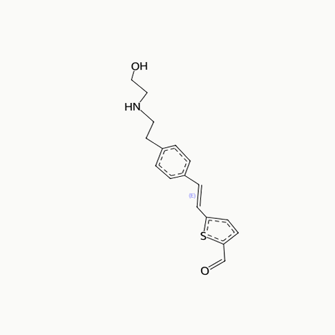 O=Cc1ccc(/C=C/c2ccc(CCNCCO)cc2)s1